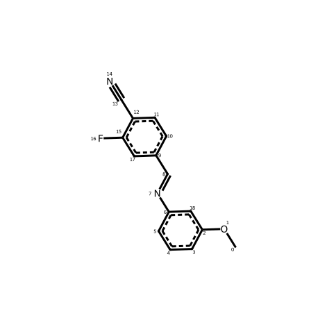 COc1cccc(N=Cc2ccc(C#N)c(F)c2)c1